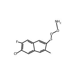 Cc1cc2cc(Cl)c(F)cc2cc1SOON